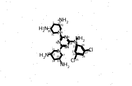 N[C@@H]1C[C@H](N)CN(c2nc(N3C[C@H](N)C[C@H](N)C3)nc(N(N)c3cc(Cl)cc(Cl)c3)n2)C1